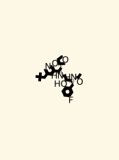 CC(=O)N[C@@H](Cc1cccc(F)c1)[C@H](O)CN[C@H]1C[C@@]2(CCOC2)Oc2ncc(CC(C)(C)C)cc21